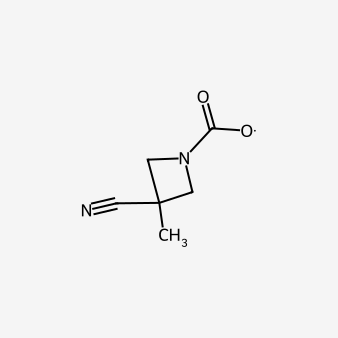 CC1(C#N)CN(C([O])=O)C1